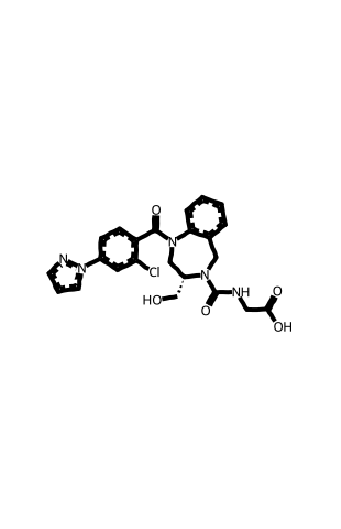 O=C(O)CNC(=O)N1Cc2ccccc2N(C(=O)c2ccc(-n3cccn3)cc2Cl)C[C@H]1CO